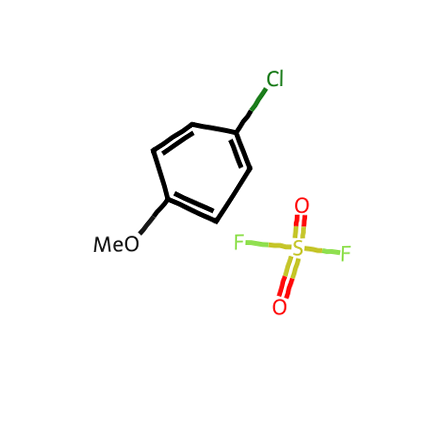 COc1ccc(Cl)cc1.O=S(=O)(F)F